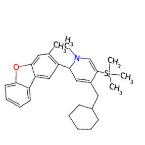 Cc1cc2oc3ccccc3c2cc1C1C=C(CC2CCCCC2)C([Si](C)(C)C)=CN1C